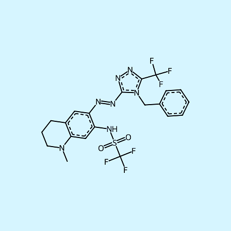 CN1CCCc2cc(N=Nc3nnc(C(F)(F)F)n3Cc3ccccc3)c(NS(=O)(=O)C(F)(F)F)cc21